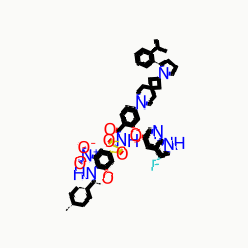 CC(C)c1ccccc1[C@@H]1CCCN1C1CC2(CCN(c3ccc(C(=O)NS(=O)(=O)c4cc5c(c([N+](=O)[O-])c4)N[C@@H]([C@H]4CC[C@@H](C)CC4)CO5)c(Oc4cnc5[nH]cc(F)c5c4)c3)CC2)C1